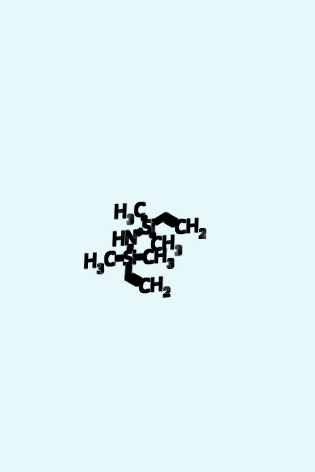 C=C[Si](C)(C)N[Si](C)(C)C=C